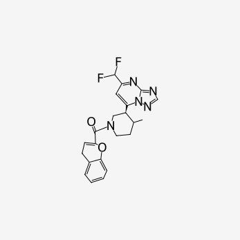 CC1CCN(C(=O)C2=CCc3ccccc3O2)C[C@H]1c1cc(C(F)F)nc2ncnn12